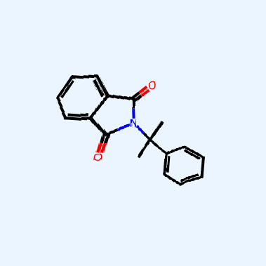 CC(C)(c1ccccc1)N1C(=O)c2ccccc2C1=O